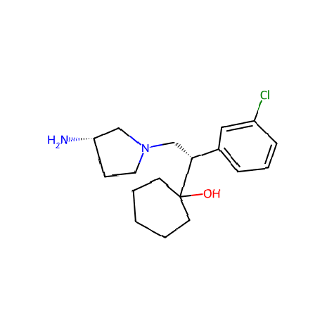 N[C@H]1CCN(C[C@H](c2cccc(Cl)c2)C2(O)CCCCC2)C1